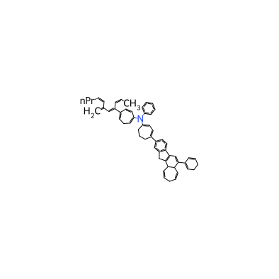 C=C(/C=C\CCC)/C=C(\C=C/C)C1=CCC=C(N(C2=CC=C(c3ccc4c(c3)CC3=C4C=C(C4=CCCC=C4)C4C=CCC=CC34)CCC2)c2ccccc2)C=C1